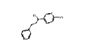 CCCC1=CC=C([C](CC)CCc2ccccc2)CO1